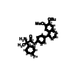 COc1cc2c(-c3ccc(NC(=O)C(C)(N)c4ccc(F)cc4)cc3)ncnc2cc1OCC(C)C